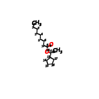 CCCCCCC[CH]C(=O)OC(C)C1CCCC1